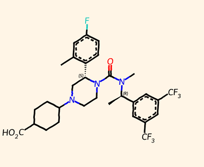 Cc1cc(F)ccc1[C@H]1CN(C2CCC(C(=O)O)CC2)CCN1C(=O)N(C)[C@H](C)c1cc(C(F)(F)F)cc(C(F)(F)F)c1